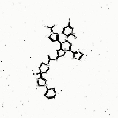 O=C(NC1CC2=C(c3ccn(C(F)F)n3)[C@H](c3ccc(F)cc3Cl)N=C(c3nccs3)N2C1)N1CCC(O)(c2cn(-c3cccnc3)nn2)CC1